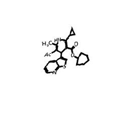 CC(=O)C1=C(C)NC(C2CC2)=C(C(=O)OC2CCCCC2)C1c1csc2ncccc12